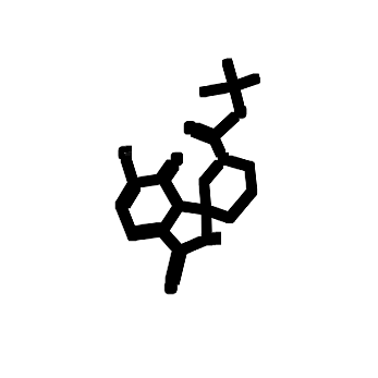 CC(C)(C)OC(=O)N1CCCC2(C1)NC(=O)C1=CC=C(Cl)C(=O)C12